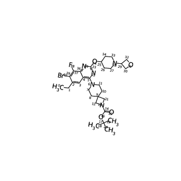 CCc1cc2c(N3CCC4(CC3)CN(C(=O)OC(C)(C)C)C4)nc(OC3CCN(C4COC4)CC3)nc2c(F)c1Br